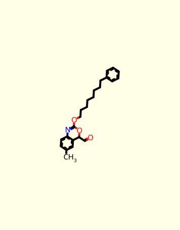 Cc1ccc2c(c1)C(C=O)OC(OCCCCCCCCc1ccccc1)=N2